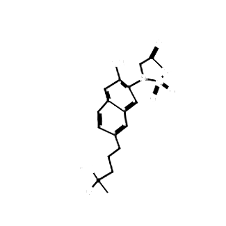 CC(O)(CCCc1ccc2cc(O)c(N3CC(=O)NS3(=O)=O)cc2c1)C(F)(F)F